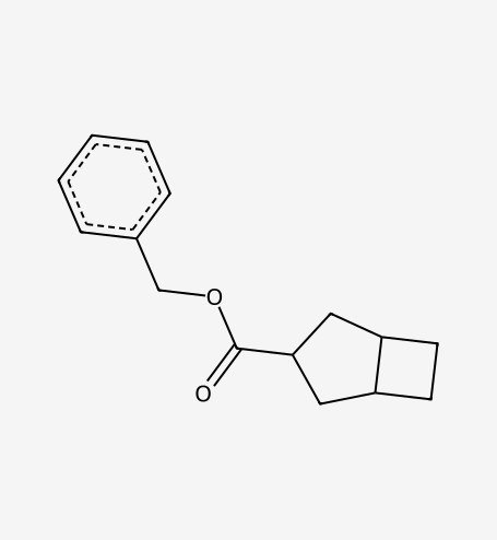 O=C(OCc1ccccc1)C1CC2CCC2C1